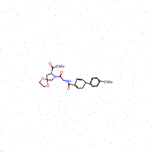 COC(=O)[C@@H]1CC2(CN1C(=O)CNC(=O)C1=CCC(c3ccc(OC)cc3)C=C1)OCCO2